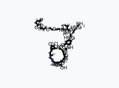 COc1cc2cc(c1Cl)N(C)C(=O)C[C@H](OC(=O)Nc1ccc(NC(=O)[C@H](CCCNC(N)=O)NC(=O)[C@@H](NC(=S)NCCOCCOCCC(=O)ON3C(=O)CCC3=O)C(C)C)cc1Cl)[C@]1(C)O[C@H]1[C@H](C)[C@@H]1C[C@@](O)(NC(O)O1)[C@H](OC)/C=C/C=C(\C)C2